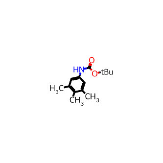 Cc1cc(NC(=O)OC(C)(C)C)cc(C)c1C